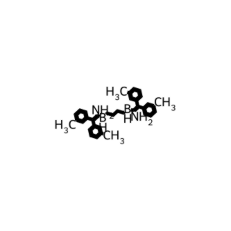 Cc1cccc(C(=C(N)BCCCCBC(N)=C(c2cccc(C)c2)c2cccc(C)c2)c2cccc(C)c2)c1